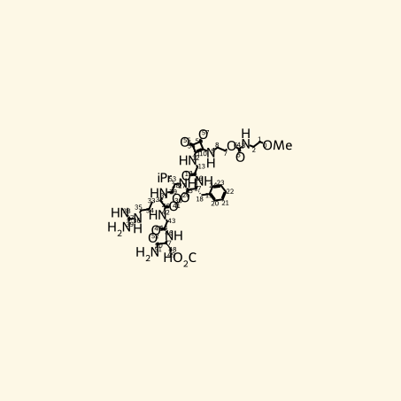 COCCNC(=O)OCCNc1c(NCC(=O)N[C@H](Cc2ccccc2)C(=O)N[C@H](C(=O)N[C@@H](CCCNC(=N)N)C(=O)NCC(=O)N[C@@H](CC(=O)O)C(N)=O)C(C)C)c(=O)c1=O